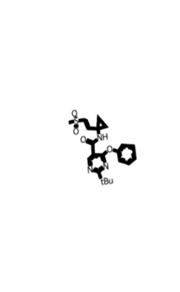 CC(C)(C)c1ncc(C(=O)NC2(/C=C/S(C)(=O)=O)CC2)c(Oc2ccccc2)n1